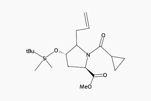 C=CCC1[C@@H](O[Si](C)(C)C(C)(C)C)C[C@H](C(=O)OC)N1C(=O)C1CC1